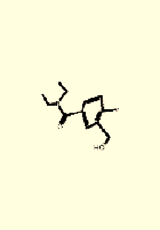 CCN(CC)C(=O)c1ccc(I)c(CO)c1